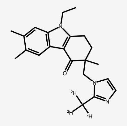 [2H]C([2H])([2H])c1nccn1CC1(C)CCc2c(c3cc(C)c(C)cc3n2CC)C1=O